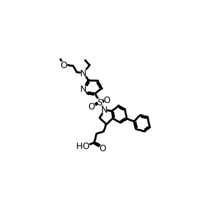 CCN(CCOC)c1ccc(S(=O)(=O)N2CC(CCC(=O)O)c3cc(-c4ccccc4)ccc32)cn1